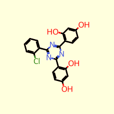 Oc1ccc(-c2nc(-c3ccc(O)cc3O)nc(-c3ccccc3Cl)n2)c(O)c1